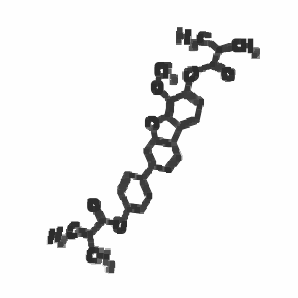 C=C(C)C(=O)Oc1ccc(-c2ccc3c(c2)oc2c(OC(F)(F)F)c(OC(=O)C(=C)C)ccc23)cc1